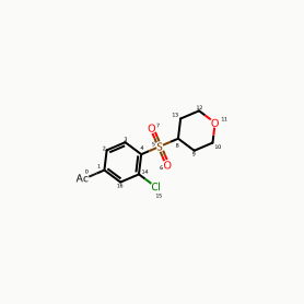 CC(=O)c1ccc(S(=O)(=O)C2CCOCC2)c(Cl)c1